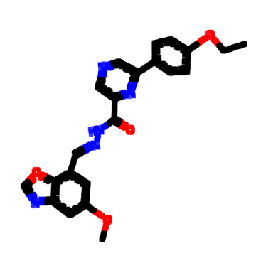 CCOc1ccc(-c2cncc(C(=O)NN=Cc3cc(OC)cc4ncoc34)n2)cc1